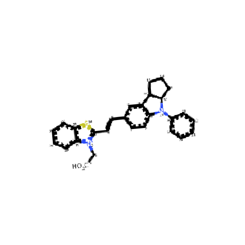 O=C(O)C[n+]1c(/C=C/c2ccc3c(c2)C2CCCC2N3c2ccccc2)sc2ccccc21